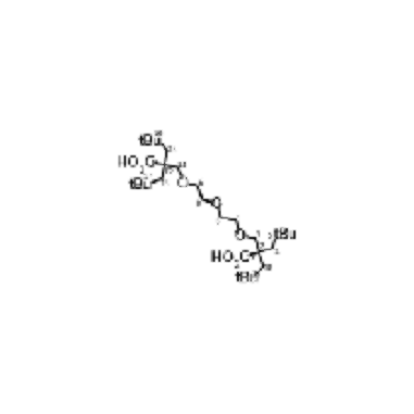 CC(C)(C)CC(COCCOCCOCC(CC(C)(C)C)(CC(C)(C)C)C(=O)O)(CC(C)(C)C)C(=O)O